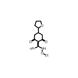 CCCC(NOCC)=C1C(=O)CC(C2CCCO2)CC1=O